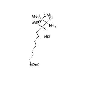 CCCCCCCCCCCCCCCCCC(C)(C)C(N)(CC)[Si](OC)(OC)OC.Cl